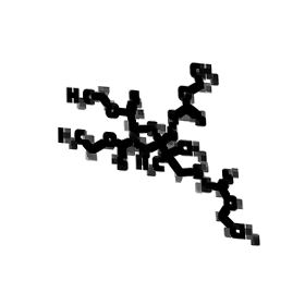 CCOC(=S)SSCC(C)(C)C(SSC(=S)OCC)(SSC(=S)OCC)SSC(=S)OCC